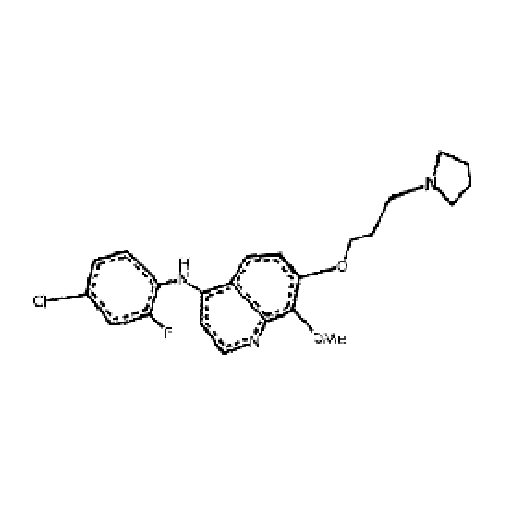 COc1c(OCCCN2CCCC2)ccc2c(Nc3ccc(Cl)cc3F)ccnc12